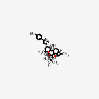 C=C1C2C(=O)[C@]34[C@H]2[C@H]1CC[C@H]3[C@@]12CO[C@]4(OC(C)(C)O)[C@@H](O)[C@@H]1C(C)(C)C[C@H](n1cc(-c3ccc(C(C)(C)C)cc3)nn1)[C@H]2O